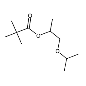 CC(C)OCC(C)OC(=O)C(C)(C)C